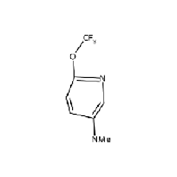 CNc1ccc(OC(F)(F)F)nc1